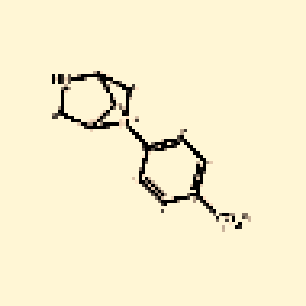 CCOC(=O)c1ccc(N2CC3CC2CN3)cc1